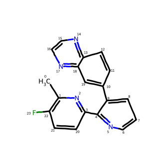 Cc1nc(-c2ncccc2-c2ccc3nccnc3c2)ccc1F